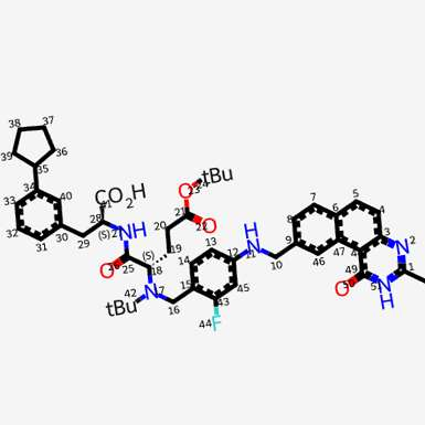 Cc1nc2ccc3ccc(CNc4ccc(CN([C@@H](CCC(=O)OC(C)(C)C)C(=O)N[C@@H](Cc5cccc(C6CCCC6)c5)C(=O)O)C(C)(C)C)c(F)c4)cc3c2c(=O)[nH]1